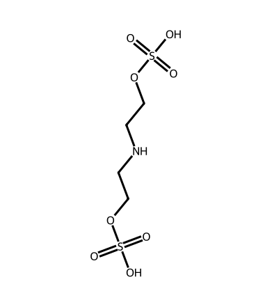 O=S(=O)(O)OCCNCCOS(=O)(=O)O